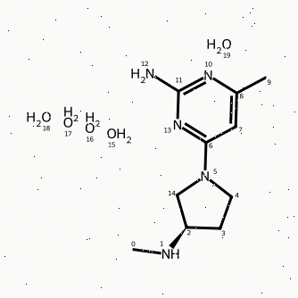 CN[C@@H]1CCN(c2cc(C)nc(N)n2)C1.O.O.O.O.O